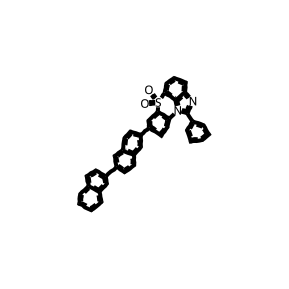 O=S1(=O)c2cc(-c3ccc4cc(-c5ccc6ccccc6c5)ccc4c3)ccc2-n2c(-c3ccccc3)nc3cccc1c32